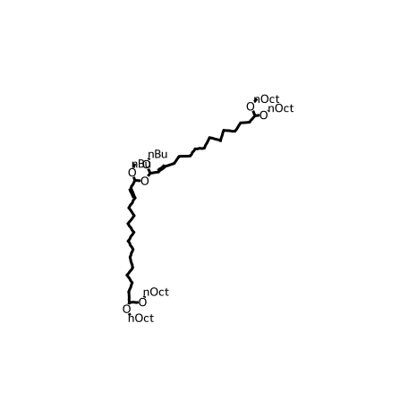 CCCCCCCCOC(CCCCCCCCCCCC=CC(OCCCC)OC(C=CCCCCCCCCCCCC(OCCCCCCCC)OCCCCCCCC)OCCCC)OCCCCCCCC